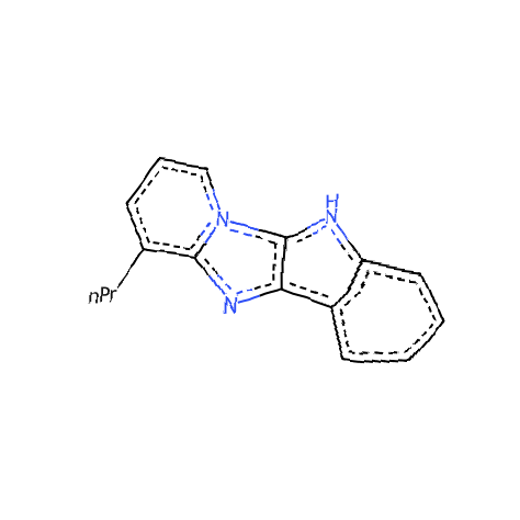 CCCc1cccn2c1nc1c3ccccc3[nH]c12